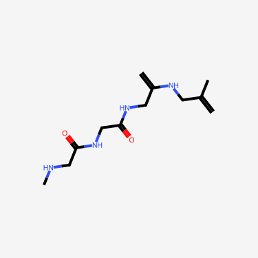 C=C(C)CNC(=C)CNC(=O)CNC(=O)CNC